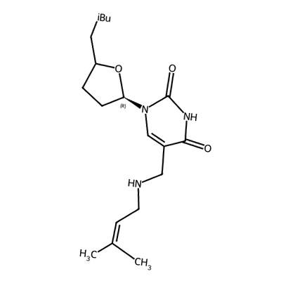 CCC(C)CC1CC[C@H](n2cc(CNCC=C(C)C)c(=O)[nH]c2=O)O1